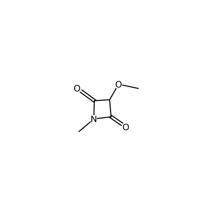 COC1C(=O)N(C)C1=O